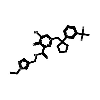 CCn1cc(CNC(=O)c2nn(CC3(c4cccc(C(F)(F)F)c4)CCCC3)cc(O)c2=O)cn1